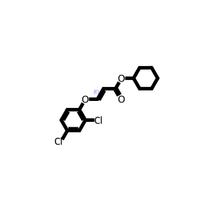 O=C(/C=C/Oc1ccc(Cl)cc1Cl)OC1CCCCC1